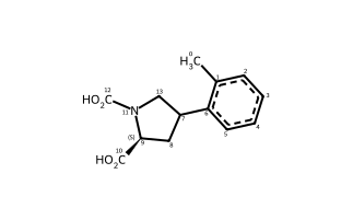 Cc1ccccc1C1C[C@@H](C(=O)O)N(C(=O)O)C1